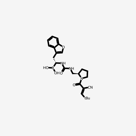 CC(C)(C)/C=C(\C#N)C(=O)N1CCC[C@@H]1CNC(=O)N[C@@H](Cc1coc2ccccc12)B(O)O